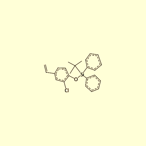 C=Cc1ccc(O[Si](c2ccccc2)(c2ccccc2)C(C)(C)C)c(Cl)c1